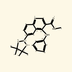 CNC(=O)c1cnc2ccc(B3OC(C)(C)C(C)(C)O3)cc2c1Nc1ccccc1